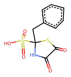 O=C1NC(Cc2ccccc2)(S(=O)(=O)O)SC1=O